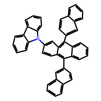 c1ccc2cc(-c3c4ccccc4c(-c4ccc5ccccc5c4)c4cc(-n5c6ccccc6c6ccccc65)ccc34)ccc2c1